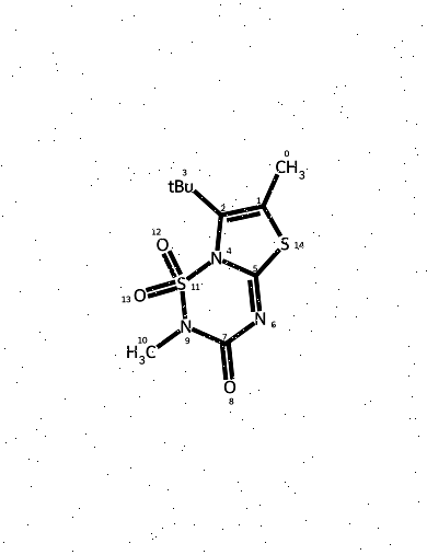 CC1=C(C(C)(C)C)N2C(=NC(=O)N(C)S2(=O)=O)S1